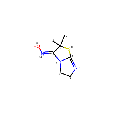 CC1(C)SC2=NCCN2C1=NO